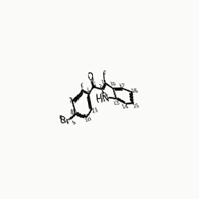 Cc1c(C(=O)c2ccc(Br)cc2)[nH]c2ccccc12